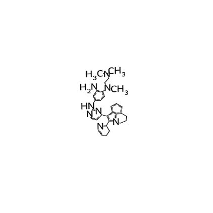 CN(C)CCN(C)c1ccc(Nc2nccc(-c3c(C4=NC=CCC4)n4c5c(cccc35)CCC4)n2)cc1N